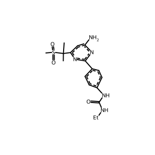 CCNC(=O)Nc1ccc(-c2nc(N)cc(C(C)(C)S(C)(=O)=O)n2)cc1